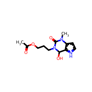 CC(=O)OCCCN1C(=O)N(C)c2cc[nH]c2C1O